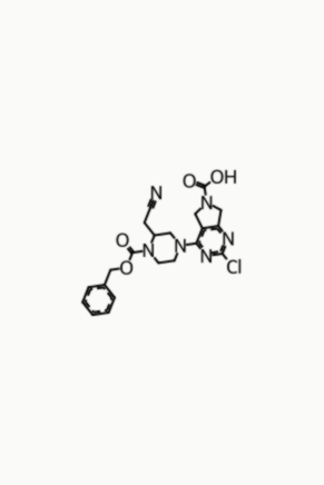 N#CCC1CN(c2nc(Cl)nc3c2CN(C(=O)O)C3)CCN1C(=O)OCc1ccccc1